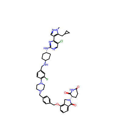 Cn1ncc(-c2nc(N[C@H]3CC[C@H](NCc4ccc(N5CCN(Cc6ccc(COc7cccc8c7CN([C@H]7CCC(=O)NC7=O)C8=O)cc6)CC5)c(F)c4)CC3)ncc2Cl)c1CC1CC1